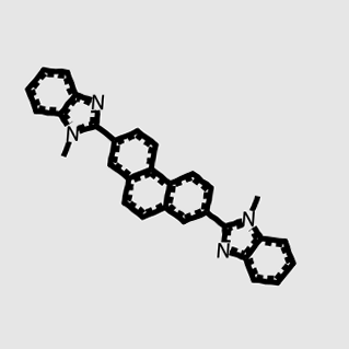 Cn1c(-c2ccc3c(ccc4cc(-c5nc6ccccc6n5C)ccc43)c2)nc2ccccc21